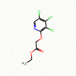 CCOC(=O)COc1ncc(Cl)c(Cl)c1Cl